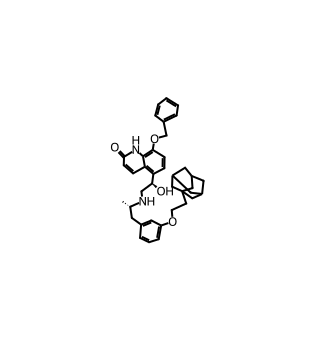 C[C@@H](Cc1cccc(OCCC23CC4CC(CC(C4)C2)C3)c1)NC[C@H](O)c1ccc(OCc2ccccc2)c2[nH]c(=O)ccc12